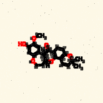 COc1cc2c(cc1O)OCC[C@H]1Oc3c(ccc4c3C=CC(C)(C)O4)C(=O)[C@@H]21